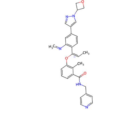 C=Nc1cc(-c2cnn(C3COC3)c2)ccc1/C(=C\C)Oc1cccc(C(=O)NCc2ccncc2)c1C